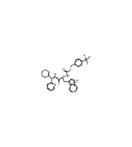 C[C@@](Cc1c[nH]c2ccccc12)(NC(=O)OCc1ccc(C(F)(F)F)cc1)C(=O)NC(c1ccccn1)C1CCCCC1